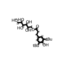 CC(C)(C)c1cc(CCC(=O)OCC(O)C(O)C(O)C(O)CO)cc(C(C)(C)C)c1O